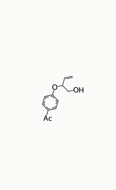 C=CC(CO)Oc1ccc(C(C)=O)cc1